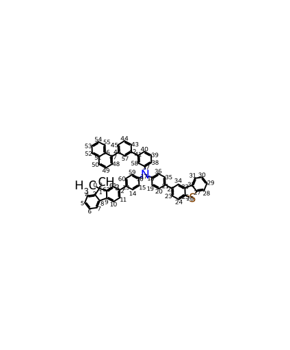 CC1(C)c2ccccc2-c2ccc(-c3ccc(N(c4ccc(-c5ccc6sc7ccccc7c6c5)cc4)c4cccc(-c5cccc(-c6cccc7ccccc67)c5)c4)cc3)cc21